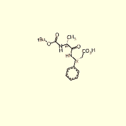 C[C@@H](NC(=O)OC(C)(C)C)C(=O)N[C@H](CC(=O)O)c1ccccc1